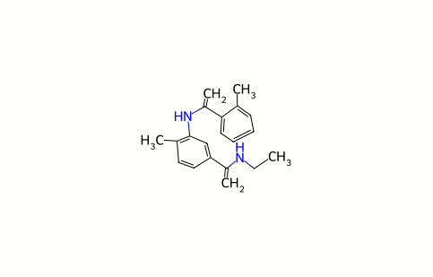 C=C(NCC)c1ccc(C)c(NC(=C)c2ccccc2C)c1